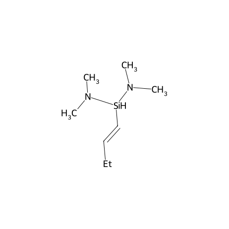 CCC=C[SiH](N(C)C)N(C)C